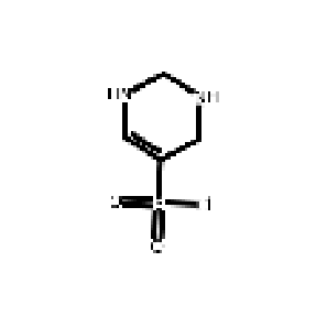 O=S(=O)(Cl)C1=CNCNC1